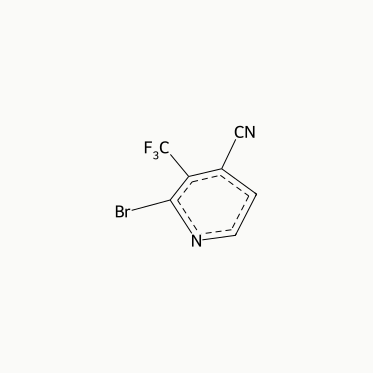 N#Cc1ccnc(Br)c1C(F)(F)F